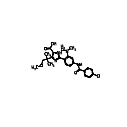 COCC(C)(C)c1nc(-c2ccc(NC(=O)c3ccc(Cl)cc3)cc2N(C)C)[nH]c1C(=O)O